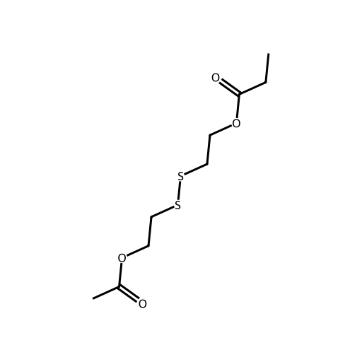 CCC(=O)OCCSSCCOC(C)=O